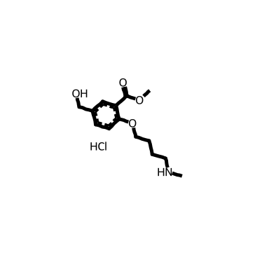 CNCCCCOc1ccc(CO)cc1C(=O)OC.Cl